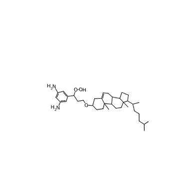 CC(C)CCCC(C)C1CCC2C3CC=C4CC(OCCC(OO)c5cc(N)cc(N)c5)CCC4(C)C3CCC12C